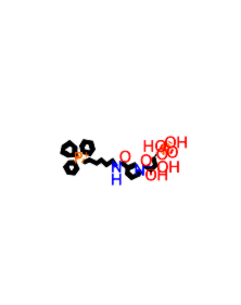 O=C(NCCCCCC[P+](c1ccccc1)(c1ccccc1)c1ccccc1)c1ccc[n+]([C@@H]2O[C@H](COP(=O)(O)O)[C@@H](O)[C@H]2O)c1